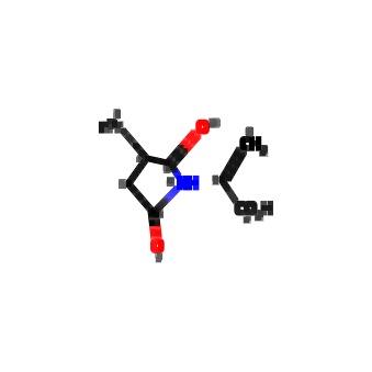 C=CC(=O)O.CCCC1CC(=O)NC1=O